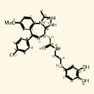 COc1ccc2c(c1)C(c1ccc(Cl)cc1)=N[C@@H](CC(=O)NCCOc1ccc(O)c(O)c1)C1NNC(C)N21